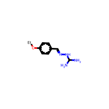 CCOc1ccc(/C=N/NC(N)N)cc1